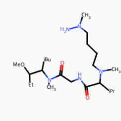 CCC(C)C(C(CC)OC)N(C)C(=O)CNC(=O)C(C(C)C)N(C)CCCCN(C)N